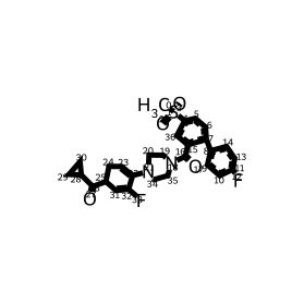 CS(=O)(=O)c1ccc(-c2ccc(F)cc2)c(C(=O)N2CCN(C3=CCC(C(=O)C4CC4)C=C3F)CC2)c1